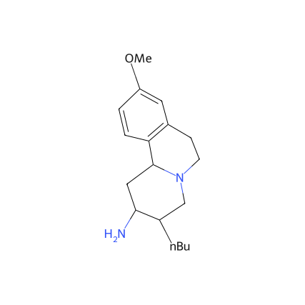 CCCCC1CN2CCc3cc(OC)ccc3C2CC1N